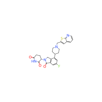 O=C1CCC(N2Cc3c(cc(F)cc3C3CCN(Cc4cc5cccnc5s4)CC3)C2=O)C(=O)N1